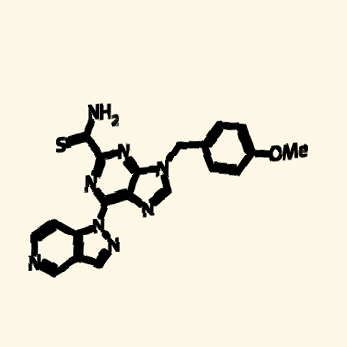 COc1ccc(Cn2cnc3c(-n4ncc5cnccc54)nc(C(N)=S)nc32)cc1